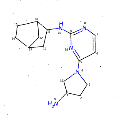 NC1CCN(c2ccnc(NC3CC4CCC3C4)n2)C1